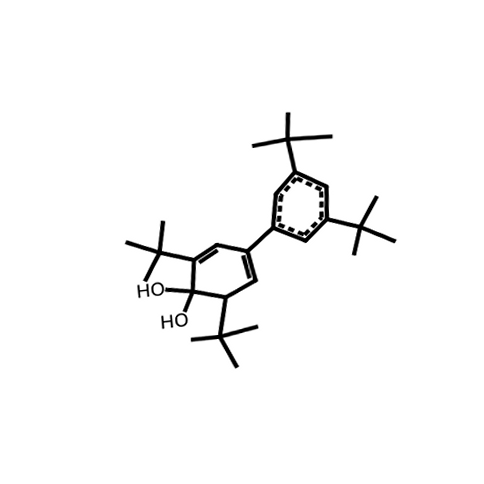 CC(C)(C)C1=CC(c2cc(C(C)(C)C)cc(C(C)(C)C)c2)=CC(C(C)(C)C)C1(O)O